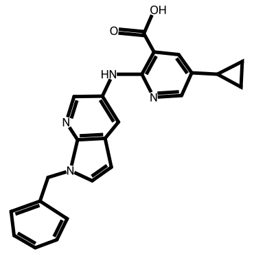 O=C(O)c1cc(C2CC2)cnc1Nc1cnc2c(ccn2Cc2ccccc2)c1